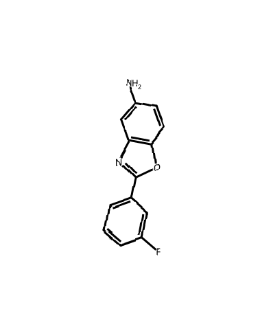 Nc1ccc2oc(-c3cccc(F)c3)nc2c1